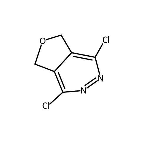 Clc1nnc(Cl)c2c1COC2